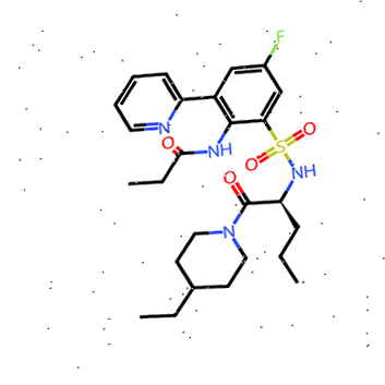 [CH2]CC[C@H](NS(=O)(=O)c1cc(F)cc(-c2ccccn2)c1NC(=O)CC)C(=O)N1CCC(CC)CC1